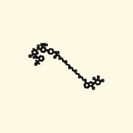 COc1cc(N2CCC(NC(=O)COCCOCCOCCOCCOCCSc3cccc4c3CN(C3CCC(=O)NC3=O)C4=O)CC2)ccc1Nc1ncc(Cl)c(Nc2ccccc2P(C)(C)=O)n1